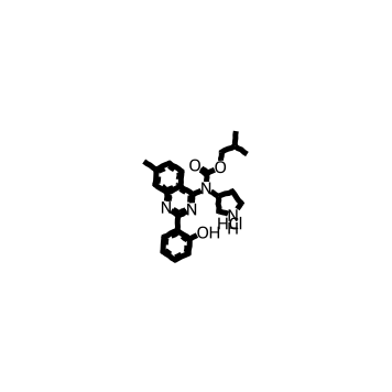 Cc1ccc2c(N(C(=O)OCC(C)C)C3CCNC3)nc(-c3ccccc3O)nc2c1.Cl